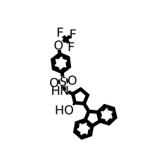 O=S(=O)(NC1CCC(C2c3ccccc3-c3ccccc32)[C@H]1O)c1ccc(OC(F)(F)F)cc1